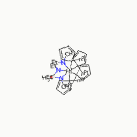 CCC[C]1([Hf]([N](C)CC)([N](C)CC)([N](C)CC)([C]2(CCC)C=CC=C2)([C]2(CCC)C=CC=C2)[C]2(CCC)C=CC=C2)C=CC=C1